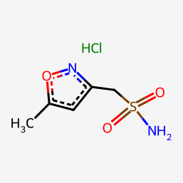 Cc1cc(CS(N)(=O)=O)no1.Cl